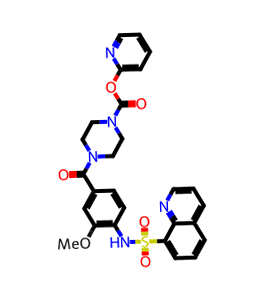 COc1cc(C(=O)N2CCN(C(=O)Oc3ccccn3)CC2)ccc1NS(=O)(=O)c1cccc2cccnc12